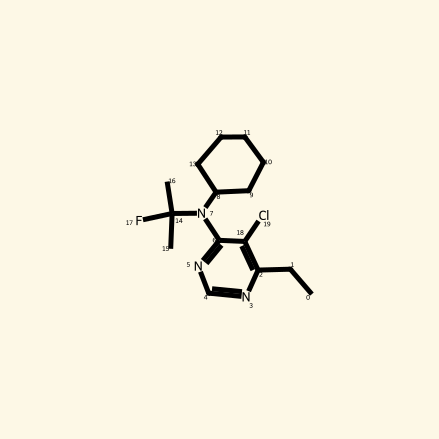 CCc1ncnc(N(C2CCCCC2)C(C)(C)F)c1Cl